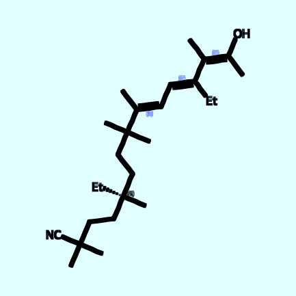 CCC(=C\C=C(/C)C(C)(C)CC[C@](C)(CC)CCC(C)(C)C#N)/C(C)=C(\C)O